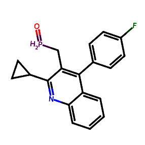 O=[PH2]Cc1c(C2CC2)nc2ccccc2c1-c1ccc(F)cc1